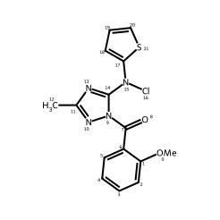 COc1ccccc1C(=O)n1nc(C)nc1N(Cl)c1cccs1